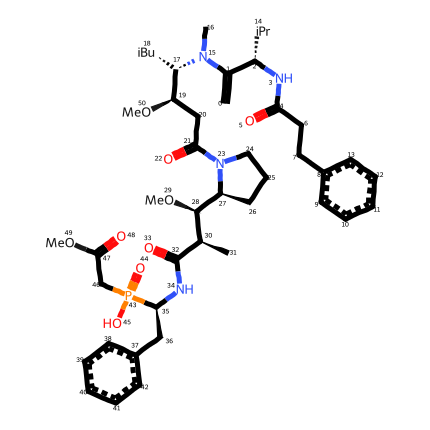 C=C([C@@H](NC(=O)CCc1ccccc1)C(C)C)N(C)[C@@H]([C@@H](C)CC)[C@@H](CC(=O)N1CCC[C@H]1[C@H](OC)[C@@H](C)C(=O)N[C@@H](Cc1ccccc1)P(=O)(O)CC(=O)OC)OC